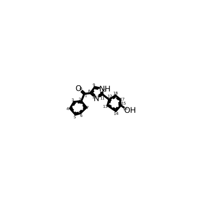 O=C(c1ccccc1)c1c[nH]c(-c2ccc(O)cc2)n1